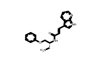 NC[C@H](COc1ccccc1)NC(=O)/C=C/c1c[nH]c2ncccc12